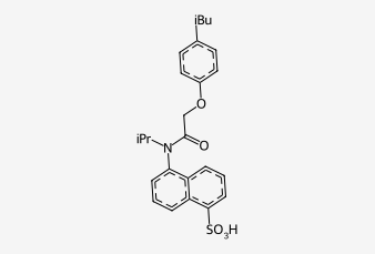 CCC(C)c1ccc(OCC(=O)N(c2cccc3c(S(=O)(=O)O)cccc23)C(C)C)cc1